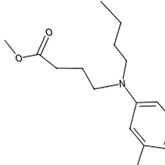 CCCCN(CCCC(=O)OC)c1cccc(C)c1